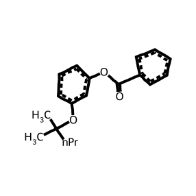 CCCC(C)(C)Oc1cccc(OC(=O)c2ccccc2)c1